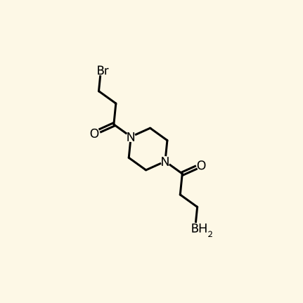 BCCC(=O)N1CCN(C(=O)CCBr)CC1